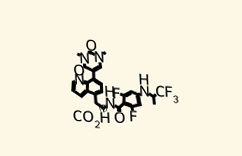 CC(Nc1cc(F)c(C(=O)N[C@@H](Cc2ccc(-c3cn(C)c(=O)n(C)c3=O)c3ncccc23)C(=O)O)c(F)c1)C(F)(F)F